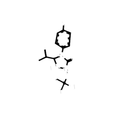 CC(C)C1NN(SC(Cl)(Cl)Cl)C(=O)N1c1ccc(Cl)cc1